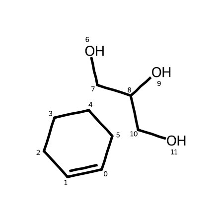 C1=CCCCC1.OCC(O)CO